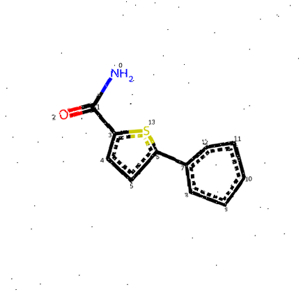 NC(=O)c1ccc(-c2ccccc2)s1